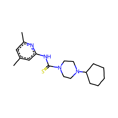 Cc1cc(C)nc(NC(=S)N2CCN(C3CCCCC3)CC2)c1